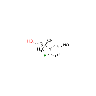 C[C@](C#N)(CCO)c1cc(N=O)ccc1F